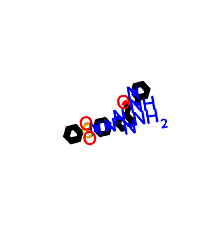 Nc1ncc(N2CCN(S(=O)(=O)c3ccccc3)CC2)nc1C(=O)Nc1ccccn1